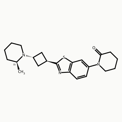 C[C@H]1CCCCN1[C@H]1C[C@H](c2nc3ccc(N4CCCCC4=O)cc3s2)C1